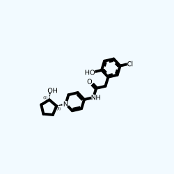 O=C(Cc1cc(Cl)ccc1O)NC1=CCN([C@@H]2CCC[C@@H]2O)C=C1